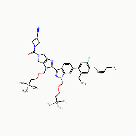 C=C/C=C\Oc1cc(CC)c(-c2ccc3c(-c4nc5c(n4COCC[Si](C)(C)C)CN(C(=O)N4CC(C#N)C4)C5)nn(COCC[Si](C)(C)C)c3c2)cc1F